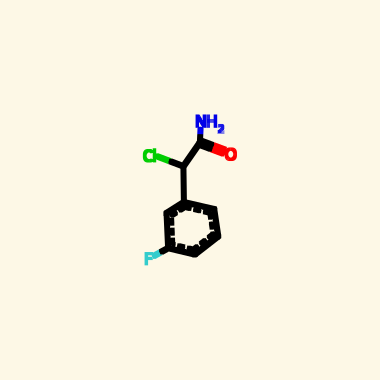 NC(=O)C(Cl)c1cccc(F)c1